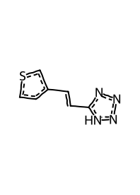 C(=C\c1nnn[nH]1)/c1ccsc1